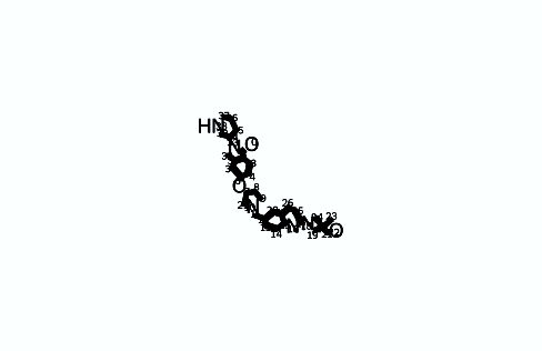 O=C1c2ccc(O[C@H]3CCN(Cc4ccc5nc(N6CC7(COC7)C6)ccc5c4)C3)cc2CN1C1CCCNC1